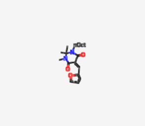 CCCCCCCCN1C(=O)C(=Cc2ccco2)C(=O)N(C)C1(C)C